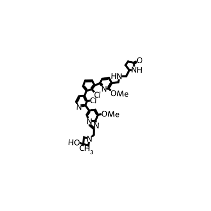 COc1nc(-c2cccc(-c3ccnc(-c4cc(OC)c5nc(CN6CC(C)(O)C6)cn5c4)c3Cl)c2Cl)ccc1CNCC1CCC(=O)N1